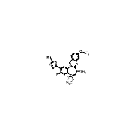 CN=S1(=O)CC(N)C(=O)N(Cc2ccc(OC(F)(F)F)cc2)c2cc(-c3nnc(C(C)(C)C)o3)c(F)cc21